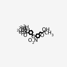 [2H]C([2H])([2H])N(C(=O)c1cccc(Oc2cc3cc(C(C)O)oc3cc2[N+](=O)[O-])c1)C([2H])([2H])[2H]